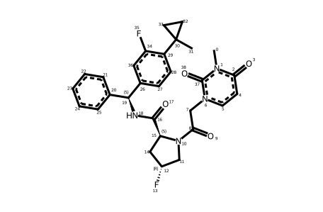 Cn1c(=O)ccn(CC(=O)N2C[C@H](F)C[C@H]2C(=O)N[C@@H](c2ccccc2)c2ccc(C3(C)CC3)c(F)c2)c1=O